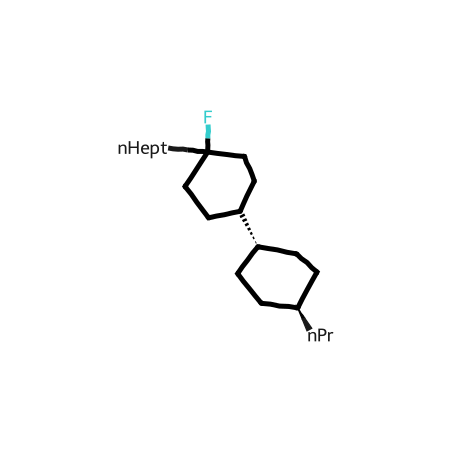 CCCCCCCC1(F)CCC([C@H]2CC[C@H](CCC)CC2)CC1